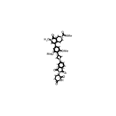 CNC(=O)N1CCc2c(-c3cc(OC)c(C4CN(c5ccc6c(c5)C(=O)N(C5CCC(=O)NC5=O)C6=O)C4)c(OC)c3)cn(C)c(=O)c2C1